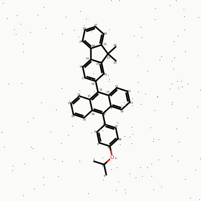 CC(C)Oc1ccc(-c2c3ccccc3c(-c3ccc4c(c3)C(C)(C)c3ccccc3-4)c3ccccc23)cc1